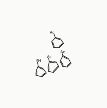 CC(=O)c1ccccc1.CC(=O)c1ccccc1.CC(=O)c1ccccc1.Sc1ccccc1